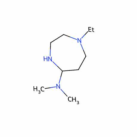 [CH2]CN1CCNC(N(C)C)CC1